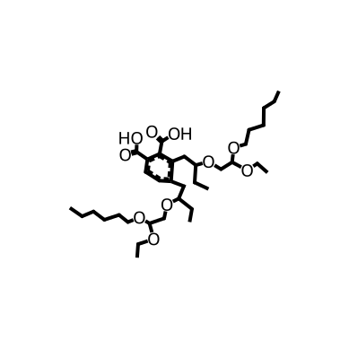 CCCCCCOC(COC(CC)Cc1ccc(C(=O)O)c(C(=O)O)c1CC(CC)OCC(OCC)OCCCCCC)OCC